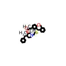 COC(=O)C(C)(C)c1ccc2c(c1)C(SCCN1CCC(Cc3ccccc3)CC1)c1ccccc1CO2